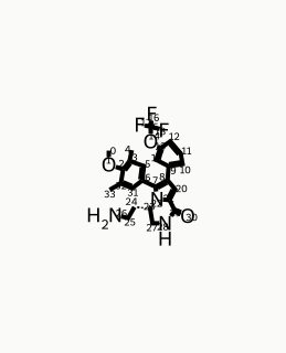 COc1c(C)cc(-c2c(-c3cccc(OC(F)(F)F)c3)cc3n2[C@@H](CCN)CNC3=O)cc1C